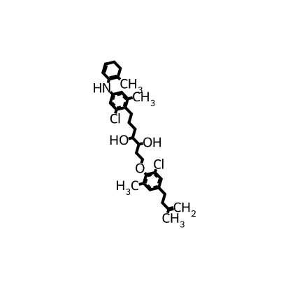 C=C(C)CCc1cc(C)c(OCCC(O)C(O)CCCc2c(C)cc(NC3=C(C)CCC=C3)cc2Cl)c(Cl)c1